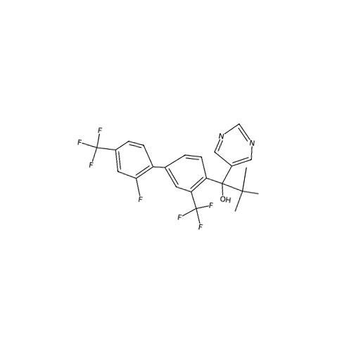 CC(C)(C)C(O)(c1cncnc1)c1ccc(-c2ccc(C(F)(F)F)cc2F)cc1C(F)(F)F